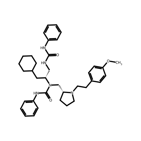 COc1ccc(CCN2CCC[C@@H]2CN(C(=O)Nc2ccccc2)[C@@H](CNC(=O)Nc2ccccc2)CC2CCCCC2)cc1